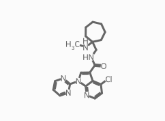 CNC1(CNC(=O)c2cn(-c3ncccn3)c3nccc(Cl)c23)CCCCCC1